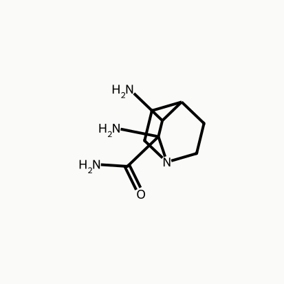 NC(=O)C1(N)C(N)C2CCN1CC2